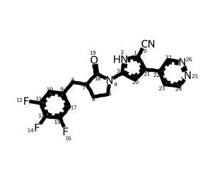 N#Cc1[nH]c(N2CCC(Cc3cc(F)c(F)c(F)c3)C2=O)cc1-c1ccnnc1